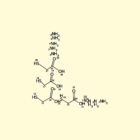 N.N.N.N.N.N.N.N.N.O=C(O)CS.O=C(O)CS.O=C(O)CS.O=C(O)CS